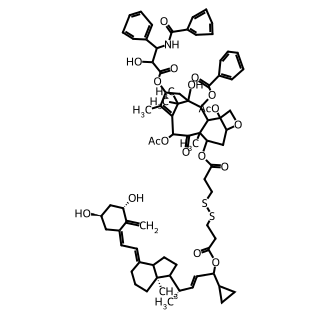 C=C1/C(=C\C=C2/CCC[C@@]3(C)C2CCC3[C@@H](C)/C=C/C(OC(=O)CCSSCCC(=O)OC2CC3OCC3(OC(C)=O)C3C(OC(=O)c4ccccc4)C4(O)CC(OC(=O)C(O)C(NC(=O)c5ccccc5)c5ccccc5)C(C)=C(C(OC(C)=O)C(=O)C23C)C4(C)C)C2CC2)C[C@@H](O)C[C@@H]1O